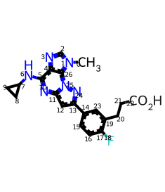 Cn1cnc2c(NC3CC3)nc3cc(-c4ccc(F)c(CCC(=O)O)c4)nn3c21